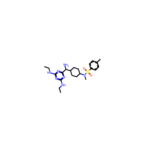 CCNc1nc(NCC)nc(C(N)C2CCC(N(C)S(=O)(=O)c3ccc(C)cc3)CC2)n1